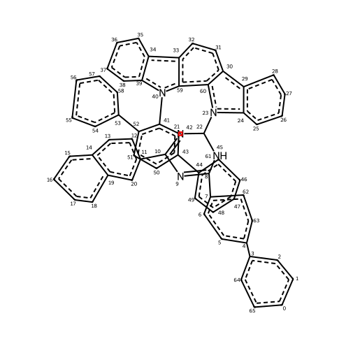 c1ccc(-c2ccc(C3=NC(c4ccc5ccccc5c4)=NC(n4c5ccccc5c5ccc6c7ccccc7n(-c7cc(-c8ccccc8)ccc7-c7ccccc7)c6c54)N3)cc2)cc1